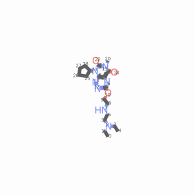 CCN(CC)CCNCCOc1nnc2c(n1)c(=O)n(C)c(=O)n2C1CCCC1